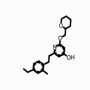 CCc1ccc(CCc2cc(O)cc(OCC3CCCCO3)n2)c(C)c1